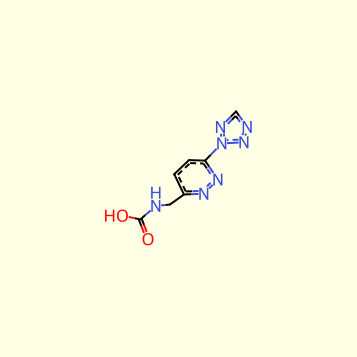 O=C(O)NCc1ccc(-n2ncnn2)nn1